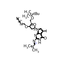 CN(C)/C=N/c1nc2c(c(I)cn2[C@H]2CC(OCN=[N+]=[N-])[C@@H](CO[Si](C)(C)C(C)(C)C)O2)c(=O)[nH]1